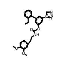 CCc1ccccc1-c1cc(OC(=O)NCCc2ccc(OC)c(OC)c2)cc(-n2cnnn2)c1